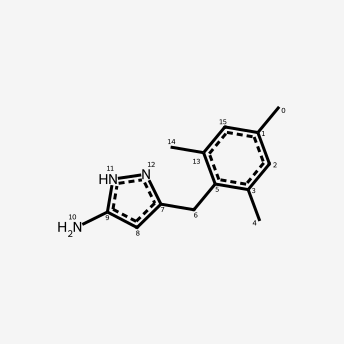 Cc1cc(C)c(Cc2cc(N)[nH]n2)c(C)c1